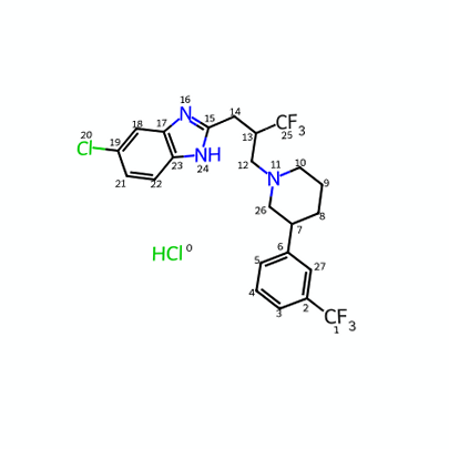 Cl.FC(F)(F)c1cccc(C2CCCN(CC(Cc3nc4cc(Cl)ccc4[nH]3)C(F)(F)F)C2)c1